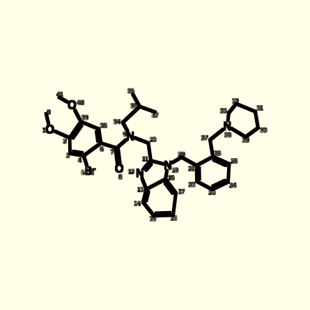 COc1cc(Br)c(C(=O)N(Cc2nc3ccccc3n2Cc2ccccc2CN2CCCCC2)CC(C)C)cc1OC